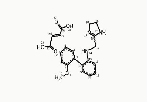 COc1ccccc1-c1ccccc1NCC1=NCCN1.O=C(O)/C=C/C(=O)O